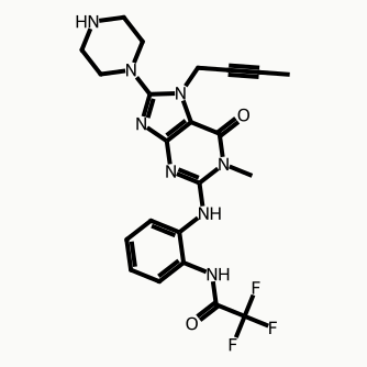 CC#CCn1c(N2CCNCC2)nc2nc(Nc3ccccc3NC(=O)C(F)(F)F)n(C)c(=O)c21